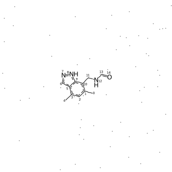 Cc1cc(C)c2cn[nH]c2c1CNC=O